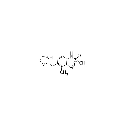 Cc1c(CC2=NCCN2)ccc(NS(C)(=O)=O)c1Br